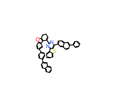 C1=C(c2nc(-c3ccc4cc(-c5ccccc5)ccc4c3)c3sc4ccccc4c3n2)c2c(oc3ccc(-c4ccc(-c5ccc6ccccc6c5)cc4)cc23)CC1